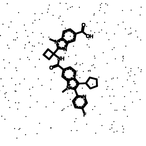 Cn1c(C2(NC(=O)c3ccc4c(C5CCCC5)c(-c5ccc(F)cn5)n(C)c4c3)CCC2)nc2cc(C(=O)O)ccc21